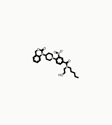 CCCCCN(CCO)C(=O)c1ccc(N2CCC(N3C(=O)OCc4ccccc43)CC2)c([N+](=O)[O-])c1